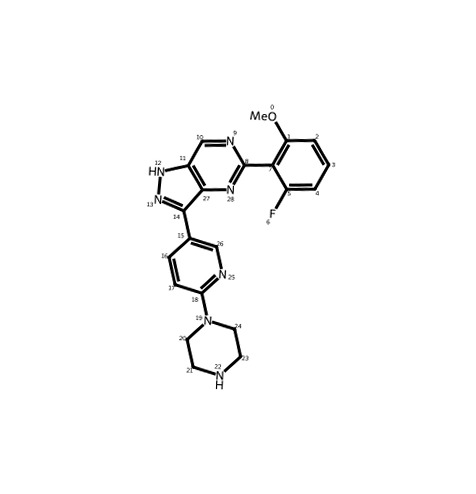 COc1cccc(F)c1-c1ncc2[nH]nc(-c3ccc(N4CCNCC4)nc3)c2n1